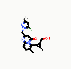 Cc1ccc2nc(Cn3nc(C(F)(F)F)cc3Cl)cc(=O)n2c1C1C(CO)[C@H]1C